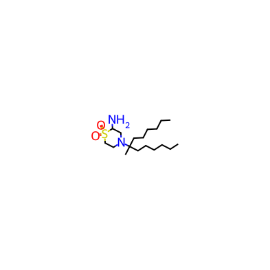 CCCCCCC(C)(CCCCCC)N1CCS(=O)(=O)C(N)C1